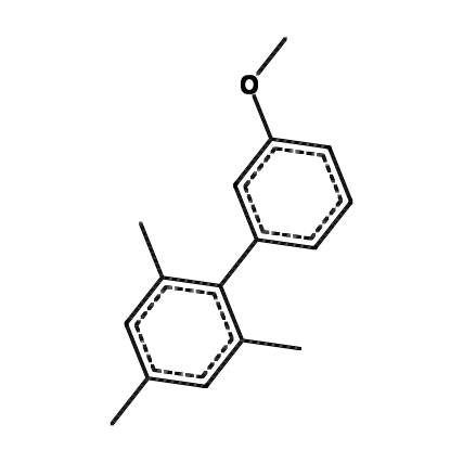 COc1cccc(-c2c(C)cc(C)cc2C)c1